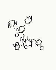 O=C(c1ccno1)n1nc(-c2cc(-c3ccncc3)cn(Cc3ncccn3)c2=O)cc1NCc1ccc(Cl)s1